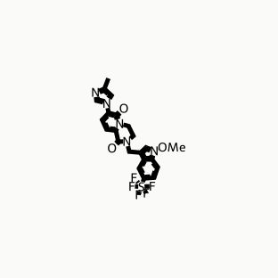 COn1cc(CN2CCn3c(ccc(-n4cnc(C)c4)c3=O)C2=O)c2cc(S(F)(F)(F)(F)F)ccc21